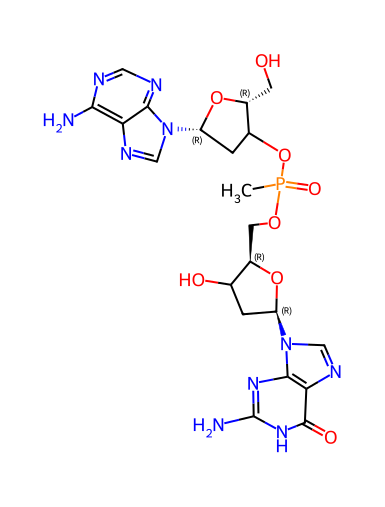 CP(=O)(OC[C@H]1O[C@@H](n2cnc3c(=O)[nH]c(N)nc32)CC1O)OC1C[C@H](n2cnc3c(N)ncnc32)O[C@@H]1CO